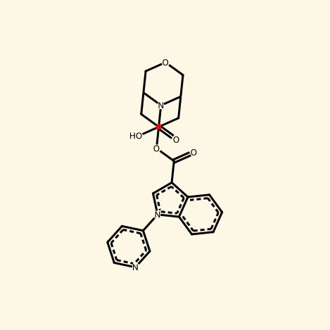 O=C(OC1CC2COCC(C1)N2C(=O)O)c1cn(-c2cccnc2)c2ccccc12